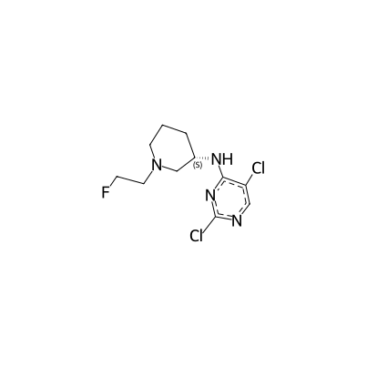 FCCN1CCC[C@H](Nc2nc(Cl)ncc2Cl)C1